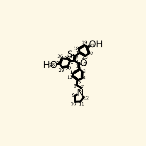 O=C(c1ccc(CCN2CCCC2)cc1)c1c(-c2ccc(O)cc2)sc2cc(O)ccc12